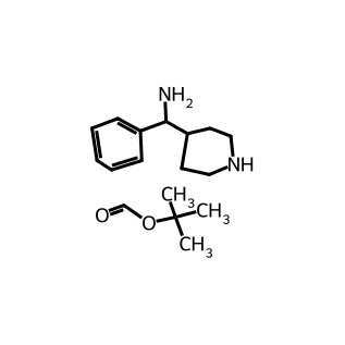 CC(C)(C)OC=O.NC(c1ccccc1)C1CCNCC1